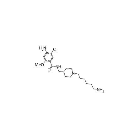 COc1cc(N)c(Cl)cc1C(=O)NCC1CCN(CCCCCCN)CC1